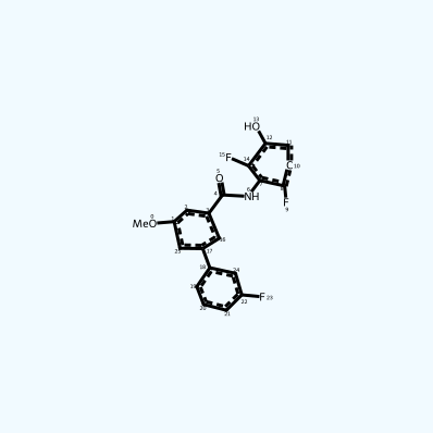 COc1cc(C(=O)Nc2c(F)ccc(O)c2F)cc(-c2cccc(F)c2)c1